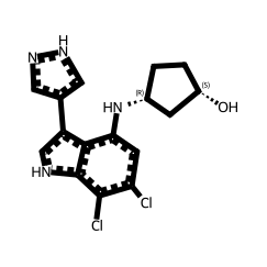 O[C@H]1CC[C@@H](Nc2cc(Cl)c(Cl)c3[nH]cc(-c4cn[nH]c4)c23)C1